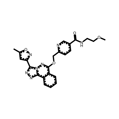 COCCNC(=O)c1ccc(COc2nn3c(-c4cc(C)on4)nnc3c3ccccc23)nc1